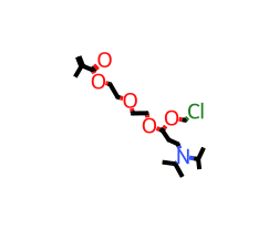 C=C(C)C(=O)OCCOCCOC(CCN(C(C)C)C(C)C)OCCl